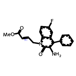 COC(=O)/C=C/Cn1c(=O)c(N)c(-c2ccccc2)c2cc(F)ccc21